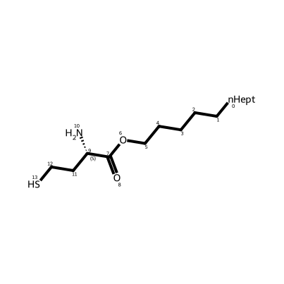 CCCCCCCCCCCCOC(=O)[C@@H](N)CCS